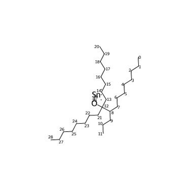 CCCCCCCCC(CCC)C(CCCCCCCC)(CCCCCCCC)[O][Sn]